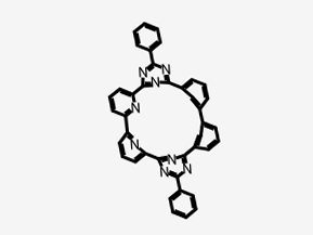 c1ccc(-c2nc3nc(n2)c2cccc(n2)c2cccc(n2)c2nc(-c4ccccc4)nc(n2)c2cccc(c2)c2cccc3c2)cc1